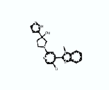 Cn1c(-c2cc(N3CCC(O)(c4ccn[nH]4)C3)ncc2Cl)nc2ccccc21